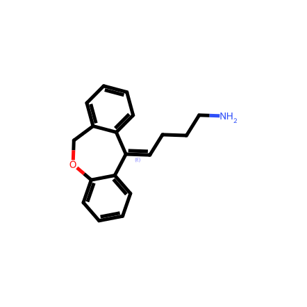 NCCC/C=C1\c2ccccc2COc2ccccc21